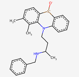 Cc1ccc2c(c1C)N(CCC(C)NCc1ccccc1)c1ccccc1[S+]2[O-]